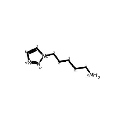 NCCCCCn1ccnn1